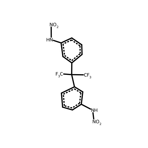 O=[N+]([O-])Nc1cccc(C(c2cccc(N[N+](=O)[O-])c2)(C(F)(F)F)C(F)(F)F)c1